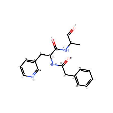 CC(C=O)NC(=O)[C@H](Cc1cccnc1)NC(=O)Cc1ccccc1